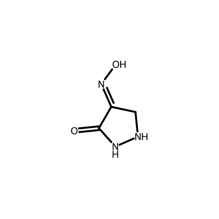 O=C1NNCC1=NO